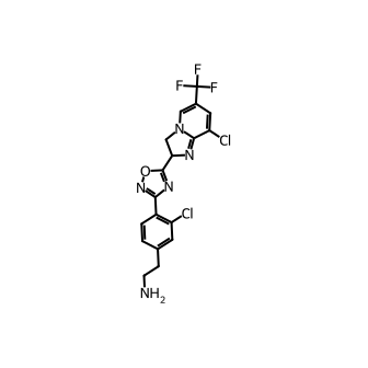 NCCc1ccc(-c2noc(C3CN4C=C(C(F)(F)F)C=C(Cl)C4=N3)n2)c(Cl)c1